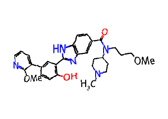 COCCCN(C(=O)c1ccc2[nH]c(-c3cc(-c4cccnc4OC)ccc3O)nc2c1)C1CCN(C)CC1